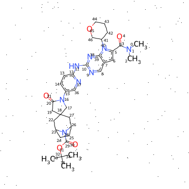 CN(C)C(=O)c1cc2cnc(Nc3ccc(N4CC5(CC4=O)CC4CCC(C5)N4C(=O)OC(C)(C)C)cn3)nc2n1C1CCCOC1